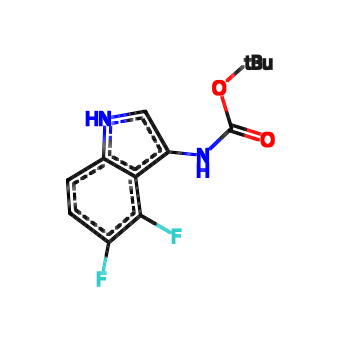 CC(C)(C)OC(=O)Nc1c[nH]c2ccc(F)c(F)c12